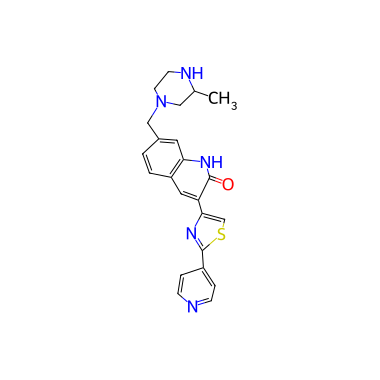 CC1CN(Cc2ccc3cc(-c4csc(-c5ccncc5)n4)c(=O)[nH]c3c2)CCN1